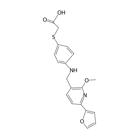 COc1nc(-c2ccco2)ccc1CNc1ccc(SCC(=O)O)cc1